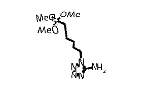 CO[Si](CCCCCn1nnnc1N)(OC)OC